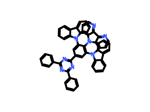 c1ccc(-c2nc(-c3ccccc3)nc(-c3cc(-n4c5ccccc5c5ccccc54)c(-n4c5cccnc5c5ncccc54)c(-n4c5ccccc5c5ccccc54)c3)n2)cc1